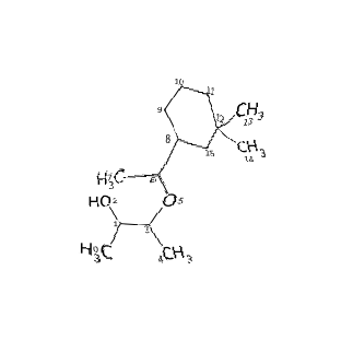 CC(O)C(C)OC(C)C1CCCC(C)(C)C1